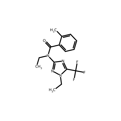 CCN(C(=O)c1ccccc1C)c1nc(C(F)(F)F)n(CC)n1